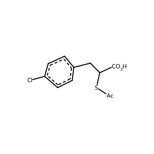 CC(=O)SC(Cc1ccc(Cl)cc1)C(=O)O